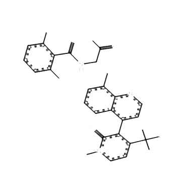 Cn1ccc(C(F)(F)F)c(-c2ccnc3c(C[C@H](NC(=O)c4c(F)cccc4F)C(=O)O)cccc23)c1=O